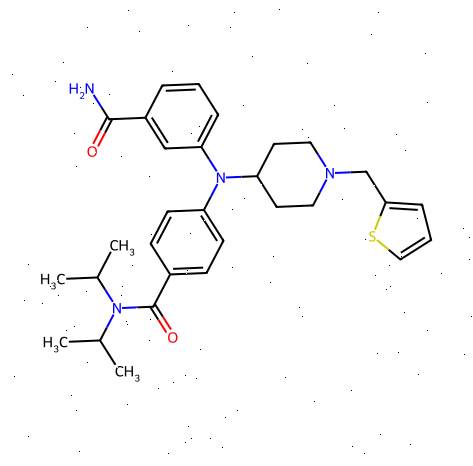 CC(C)N(C(=O)c1ccc(N(c2cccc(C(N)=O)c2)C2CCN(Cc3cccs3)CC2)cc1)C(C)C